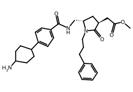 COC(=O)C[C@@H]1C[C@@H](CNC(=O)c2ccc(C3CCC(N)CC3)cc2)N(CCCc2ccccc2)C1=O